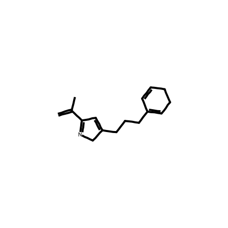 C=C(C)C1=NCC(CCCC2=CCCC=C2)=C1